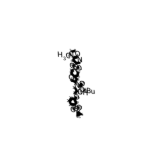 CN1CCOc2ncc(S(=O)(=O)N3CCC4(CC3)C[C@@H](N(C[C@H](O)COc3cccc(S(=O)(=O)C5CC5)c3)C(=O)OC(C)(C)C)CO4)cc21